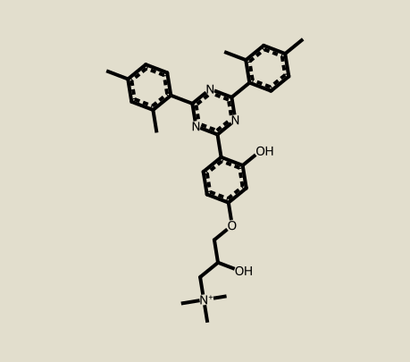 Cc1ccc(-c2nc(-c3ccc(C)cc3C)nc(-c3ccc(OCC(O)C[N+](C)(C)C)cc3O)n2)c(C)c1